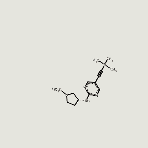 C[Si](C)(C)C#Cc1cnc(N[C@@H]2CCN(C(=O)O)C2)nc1